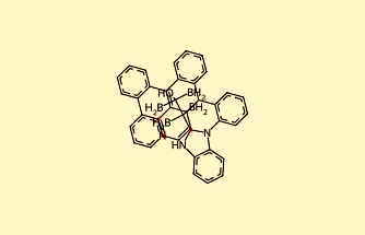 BC(B)(O)C(B)(B)C1Nc2ccccc2N1c1ccccc1C1c2ccccc2C(c2ccccc2-c2cccnc2)=C2C=CC=CC21